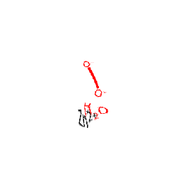 O.[O-][O-].[Zn+2]